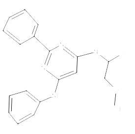 COCC(C)Nc1cc(Nc2ccccc2)nc(-c2ccccc2)n1